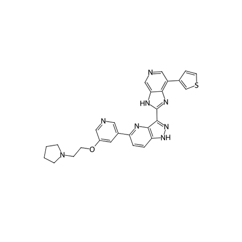 c1cc(-c2cncc3[nH]c(-c4n[nH]c5ccc(-c6cncc(OCCN7CCCC7)c6)nc45)nc23)cs1